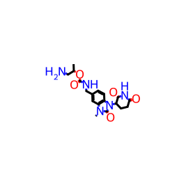 CC(CN)OC(=O)NCc1ccc2c(c1)n(C)c(=O)n2C1CCC(=O)NC1=O